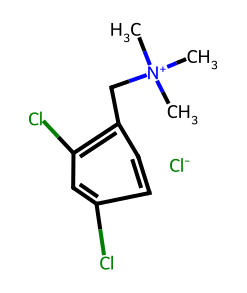 C[N+](C)(C)Cc1ccc(Cl)cc1Cl.[Cl-]